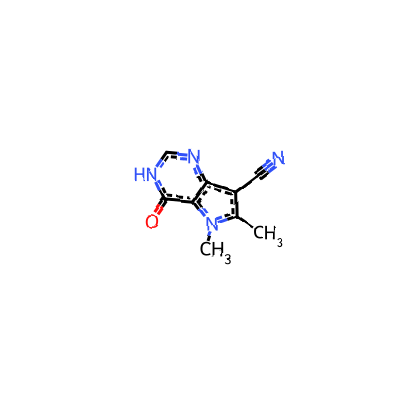 Cc1c(C#N)c2nc[nH]c(=O)c2n1C